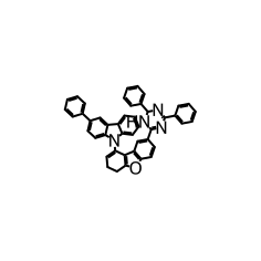 C1=C(n2c3ccccc3c3cc(-c4ccccc4)ccc32)c2c(oc3ccc(C4=NC(c5ccccc5)=NC(c5ccccc5)N4)cc23)CC1